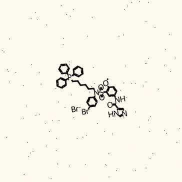 COc1ccc(NC(=O)c2cnc[nH]2)cc1S(=O)(=O)N(CCCCCC[P+](c1ccccc1)(c1ccccc1)c1ccccc1)c1ccc(Br)cc1.[Br-]